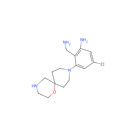 NCc1c(N)cc(Cl)cc1N1CCC2(CC1)CNCCO2